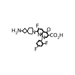 NC1CC2(CCN(c3nc4c(cc3F)c(=O)c(C(=O)O)cn4-c3ccc(F)cc3F)CC2)C1